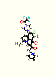 CC1CCc2c(N3CCN(C(=O)C(F)(F)F)CC3)c(Cl)cc3c(=O)c(C(=O)C[n+]4ccccc4)cn1c23.[I-]